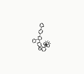 CC1(C)OB(c2cccc3oc4ccc(-c5ccc(-c6ccc(-c7ccccc7)cc6)cc5-c5ccccc5)cc4c23)OC1(C)C